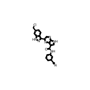 N#Cc1cccc(NC(=O)c2c[nH]c3ncc(-c4n[nH]c5cc(CCl)ccc45)nc23)c1